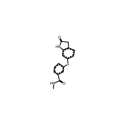 CNC(=O)c1cccc(Sc2ccc3c(c2)NC(=O)C3)c1